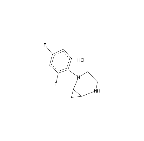 Cl.Fc1ccc(N2CCNC3CC32)c(F)c1